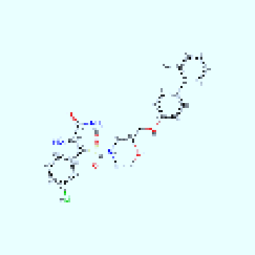 Cc1ccccc1-c1ccc(OCC2CN(S(=O)(=O)c3c(C(N)=O)[nH]c4ccc(Cl)cc34)CCO2)cc1